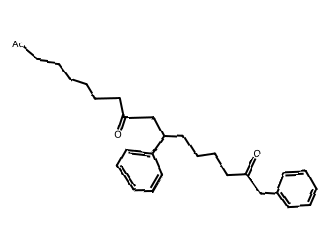 CC(=O)CCCCCCC(=O)CC(CCCCC(=O)Cc1ccccc1)c1ccccc1